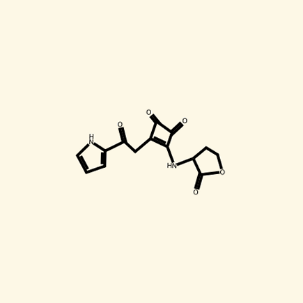 O=C(Cc1c(NC2CCOC2=O)c(=O)c1=O)c1ccc[nH]1